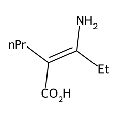 CCCC(C(=O)O)=C(N)CC